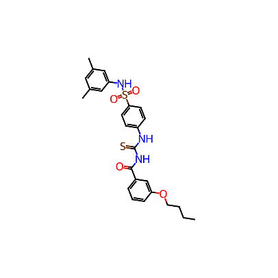 CCCCOc1cccc(C(=O)NC(=S)Nc2ccc(S(=O)(=O)Nc3cc(C)cc(C)c3)cc2)c1